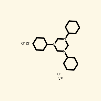 C1CCC(N2CN(C3CCCCC3)CN(C3CCCCC3)C2)CC1.[Cl-].[Cl-].[Cl-].[V+3]